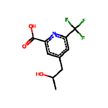 CC(O)Cc1cc(C(=O)O)nc(C(F)(F)F)c1